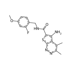 COc1ccc(CNC(=O)c2sc3nnc(C)c(C)c3c2N)c(F)c1